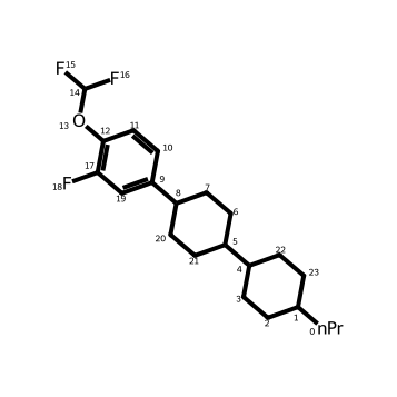 CCCC1CCC(C2CCC(c3ccc(OC(F)F)c(F)c3)CC2)CC1